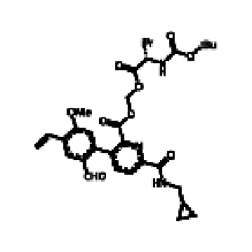 C=Cc1cc(C=O)c(-c2ccc(C(=O)NCC3CC3)nc2C(=O)OCOC(=O)[C@@H](NC(=O)OC(C)(C)C)C(C)C)cc1OC